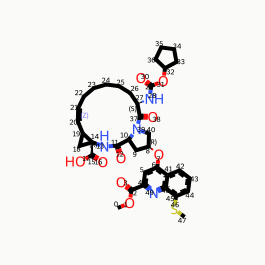 COC(=O)c1cc(O[C@@H]2CC3C(=O)N[C@]4(C(=O)O)CC4/C=C\CCCCC[C@H](NC(=O)OC4CCCC4)C(=O)N3C2)c2cccc(SC)c2n1